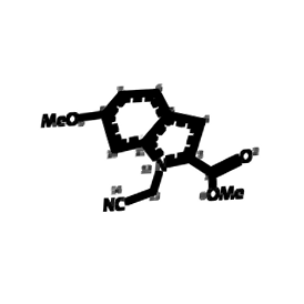 COC(=O)c1cc2ccc(OC)cc2n1CC#N